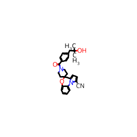 CC(C)(O)Cc1ccc(C(=O)N2CCC3(CC2)Oc2ccccc2-n2c(C#N)ccc23)cc1